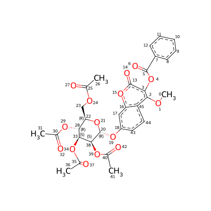 COc1c(OC(=O)c2ccccc2)c(=O)oc2cc(O[C@H]3O[C@H](COC(C)=O)[C@@H](OC(C)=O)[C@H](OC(C)=O)[C@@H]3OC(C)=O)ccc12